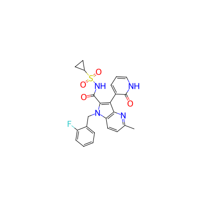 Cc1ccc2c(n1)c(-c1ccc[nH]c1=O)c(C(=O)NS(=O)(=O)C1CC1)n2Cc1ccccc1F